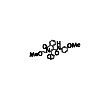 COCCn1c(-c2ccco2)c(C(=O)Nc2cccc(OC)c2)c2ccccc2c1=O